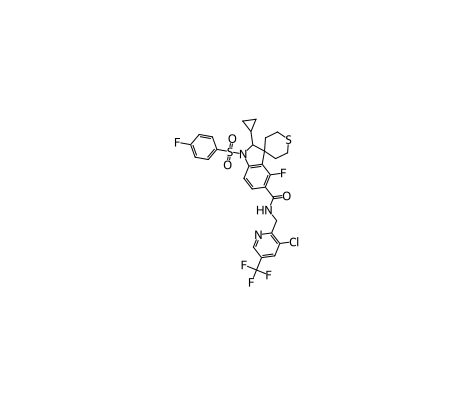 O=C(NCc1ncc(C(F)(F)F)cc1Cl)c1ccc2c(c1F)C1(CCSCC1)C(C1CC1)N2S(=O)(=O)c1ccc(F)cc1